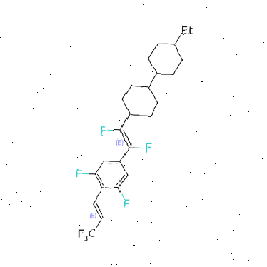 CCC1CCC(C2CCC(/C(F)=C(\F)c3cc(F)c(/C=C/C(F)(F)F)c(F)c3)CC2)CC1